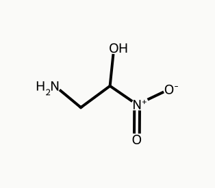 NCC(O)[N+](=O)[O-]